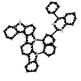 c1ccc(-c2nc(-c3cccc(-n4c5ccc6oc7ccccc7c6c5c5ccc6c7ccccc7n(-c7ccccc7)c6c54)c3)nc3ccccc23)cc1